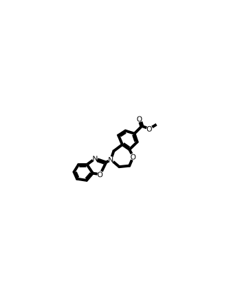 COC(=O)c1ccc2c(c1)OCCN(c1nc3ccccc3o1)C2